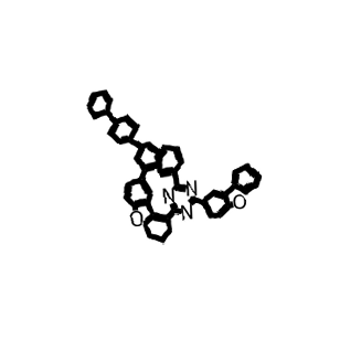 c1ccc(-c2ccc(-c3cccc(-c4ccc5c(c4)C4=C(c6nc(-c7ccccc7)nc(-c7ccc8oc9ccccc9c8c7)n6)CCCC4O5)c3)cc2)cc1